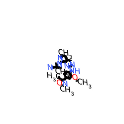 CCOc1cc(-c2nc(C)oc2C)ccc1Nc1ncc2cc(C)nc(N3CC(C)(C#N)C3)c2n1